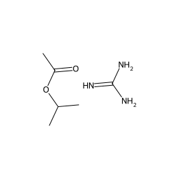 CC(=O)OC(C)C.N=C(N)N